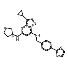 c1csc(-c2ccc(CNc3cc(N[C@H]4CCNC4)nc4c(C5CC5)cnn34)cc2)n1